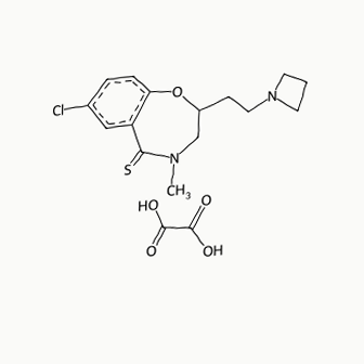 CN1CC(CCN2CCC2)Oc2ccc(Cl)cc2C1=S.O=C(O)C(=O)O